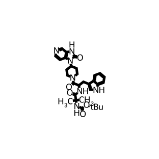 CC(C)(C)OC(=O)NC(C)(C)C(=O)NC(Cc1c[nH]c2ccccc12)C(=O)N1CCC(n2c(=O)[nH]c3cnccc32)CC1